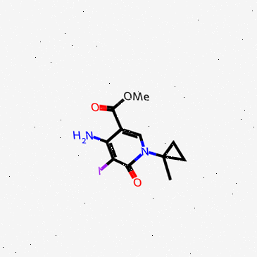 COC(=O)c1cn(C2(C)CC2)c(=O)c(I)c1N